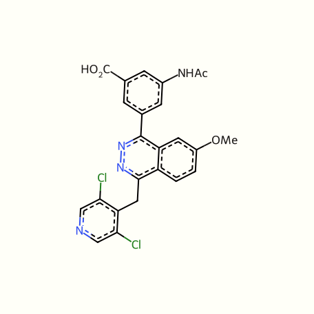 COc1ccc2c(Cc3c(Cl)cncc3Cl)nnc(-c3cc(NC(C)=O)cc(C(=O)O)c3)c2c1